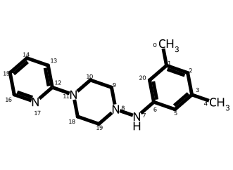 Cc1cc(C)cc(NN2CCN(c3ccccn3)CC2)c1